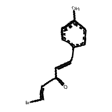 O=C(C=CBr)C=Cc1ccc(O)cc1